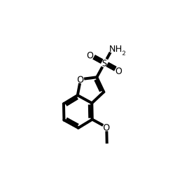 COc1cccc2oc(S(N)(=O)=O)cc12